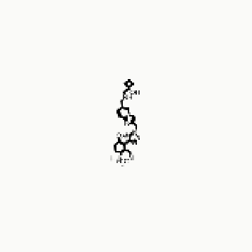 C/N=C\c1c(N)ccc(OC)c1-c1cn(Cc2cn3cc(CNCC4(O)CCC4)ccc3n2)nn1